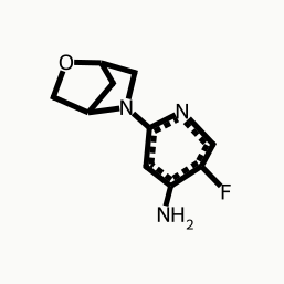 Nc1cc(N2CC3CC2CO3)ncc1F